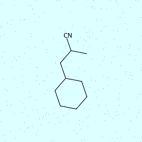 CC(C#N)CC1CCCCC1